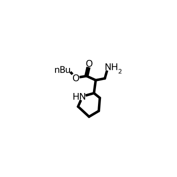 CCCCOC(=O)C(CN)C1CCCCN1